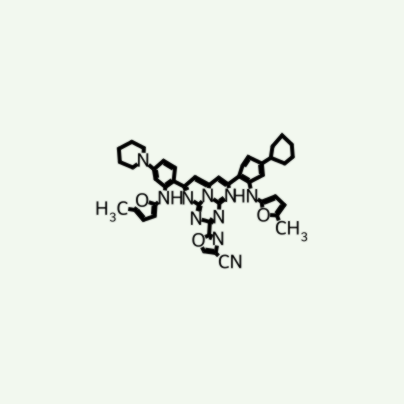 Cc1ccc(Nc2cc(C3CCCCC3)ccc2C2=CC3=CC(c4ccc(N5CCCCC5)cc4Nc4ccc(C)o4)=NC4=NC(c5nc(C#N)co5)=NC(=N2)N34)o1